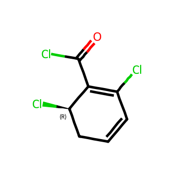 O=C(Cl)C1=C(Cl)C=CC[C@H]1Cl